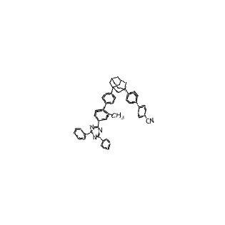 Cc1cc(-c2nc(-c3ccccc3)nc(-c3ccccc3)n2)ccc1-c1ccc(C23CC4CC(CC(c5ccc(-c6ccc(C#N)cc6)cc5)(C4)C2)C3)cc1